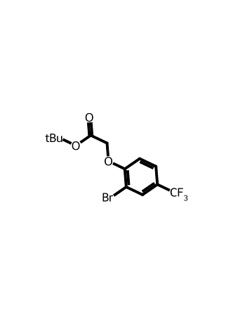 CC(C)(C)OC(=O)COc1ccc(C(F)(F)F)cc1Br